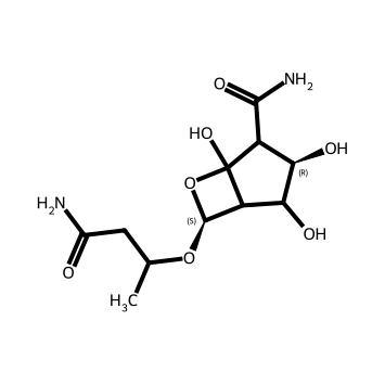 CC(CC(N)=O)O[C@H]1OC2(O)C1C(O)[C@H](O)C2C(N)=O